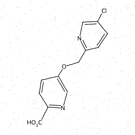 O=C(O)c1ccc(OCc2ccc(Cl)cn2)cn1